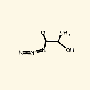 C[C@@H](O)C(Cl)N=[N+]=[N-]